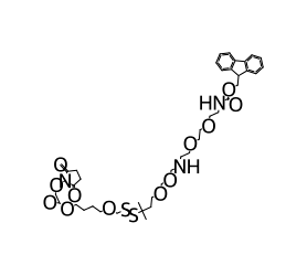 CC(C)(CCOCOCNCCOCCOCCNC(=O)OCC1c2ccccc2-c2ccccc21)SSCOCCCCOC1OC1ON1C(=O)CCC1=O